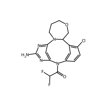 Nc1nc2cc(n1)N1CCCOCC1c1cc(ccc1Cl)N2C(=O)C(F)F